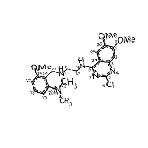 COc1cc2nc(Cl)nc(NCCNCc3c(OC)cccc3N(C)C)c2cc1OC